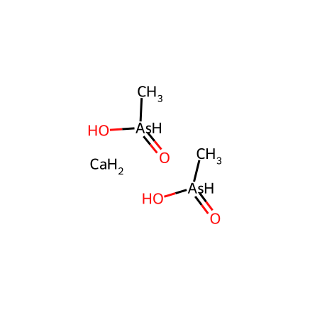 C[AsH](=O)O.C[AsH](=O)O.[CaH2]